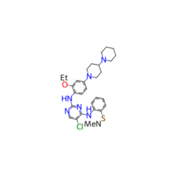 CCOc1cc(N2CCC(N3CCCCC3)CC2)ccc1Nc1ncc(Cl)c(Nc2ccccc2SNC)n1